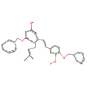 COc1cc(/C=C/c2cc(O)cc(OCc3ccccc3)c2CC=C(C)C)ccc1OCc1ccccc1